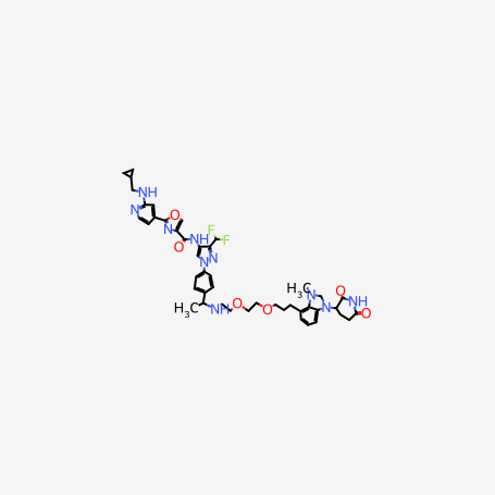 CC(NCCOCCOCCCc1cccc2c1N(C)CN2C1CCC(=O)NC1=O)c1ccc(-n2cc(NC(=O)c3coc(-c4ccnc(NCC5CC5)c4)n3)c(C(F)F)n2)cc1